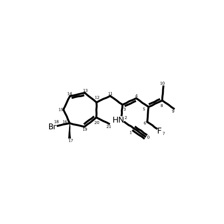 C#CN/C(=C\C(CF)=C(C)C)CC1C=CC[C@@](C)(Br)C=C1C